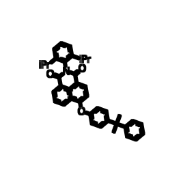 CC(C)c1cccc(C(C)C)c1N1C(=O)c2cccc3c(Oc4ccc(C(C)(C)c5ccccc5)cc4)ccc(c23)C1=O